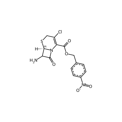 NC1C(=O)N2C(C(=O)OCc3ccc([N+](=O)[O-])cc3)=C(Cl)CS[C@H]12